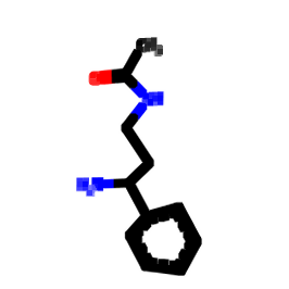 CC(=O)NCCC(N)c1ccccc1